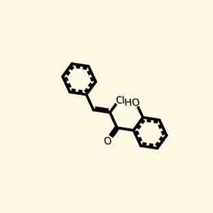 O=C(/C(Cl)=C/c1ccccc1)c1ccccc1O